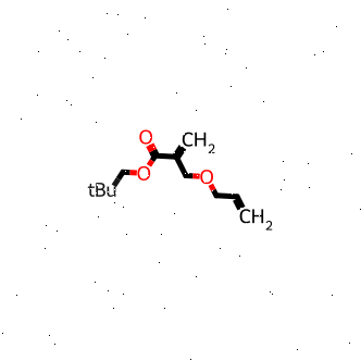 C=CCOCC(=C)C(=O)OCC(C)(C)C